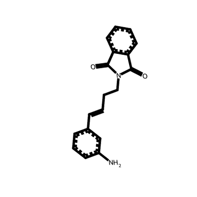 Nc1cccc(C=CCCN2C(=O)c3ccccc3C2=O)c1